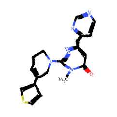 Cn1c(N2CCC=C(c3ccsc3)C2)nc(-c2ccncn2)cc1=O